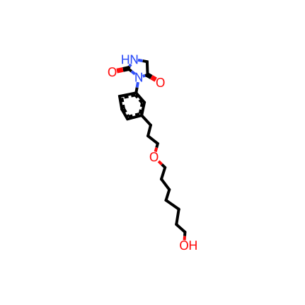 O=C1CNC(=O)N1c1cccc(CCCOCCCCCCCO)c1